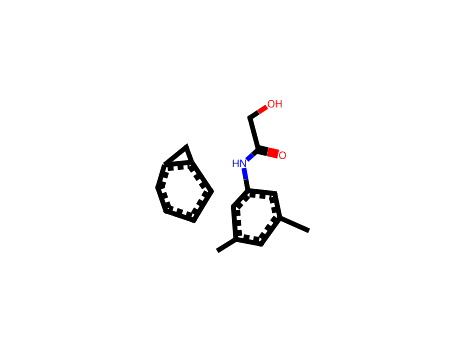 Cc1cc(C)cc(NC(=O)CO)c1.c1ccc2c(c1)C2